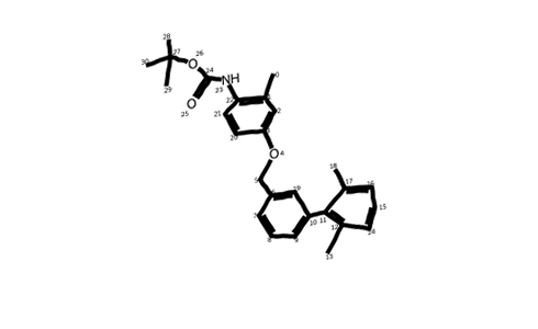 Cc1cc(OCc2cccc(-c3c(C)cccc3C)c2)ccc1NC(=O)OC(C)(C)C